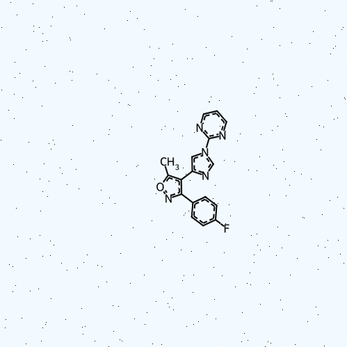 Cc1onc(-c2ccc(F)cc2)c1-c1cn(-c2ncccn2)cn1